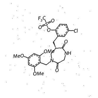 COc1cc(OC)c(CN2C[C@@H](Cc3cc(Cl)ccc3OS(=O)(=O)C(F)(F)F)C(=O)NCC2=O)c(OC)c1